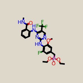 CCOP(=O)(Cc1cc(F)c(Nc2ncc(C(F)(F)F)c(Nc3ccccc3C(=O)NC)n2)c(OC)c1)OCC